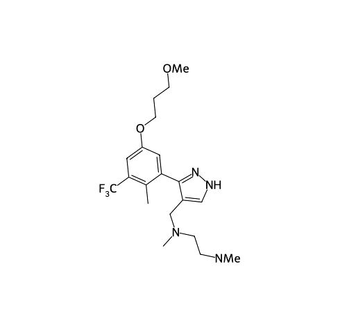 CNCCN(C)Cc1c[nH]nc1-c1cc(OCCCOC)cc(C(F)(F)F)c1C